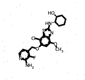 COc1cc(OCc2ccnc(N)c2F)c(Cl)c2sc(N[C@H]3CCCC[C@@H]3O)nc12